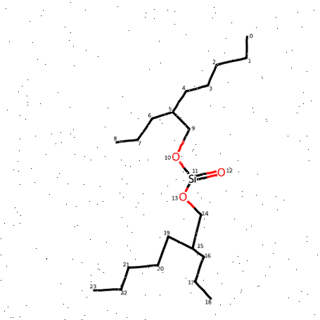 CCCCCC(CCC)CO[Si](=O)OCC(CCC)CCCCC